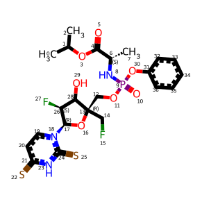 CC(C)OC(=O)[C@H](C)NP(=O)(OC[C@@]1(CF)O[C@@H](n2ccc(=S)[nH]c2=S)[C@@H](F)C1O)Oc1ccccc1